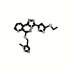 CCOc1cc(-c2nnc3c4cccnc4c(OCc4cnnn4C)nn23)no1